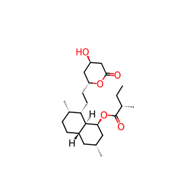 CC[C@H](C)C(=O)O[C@H]1C[C@H](C)C[C@@H]2CC[C@H](C)[C@H](CC[C@@H]3C[C@@H](O)CC(=O)O3)[C@H]21